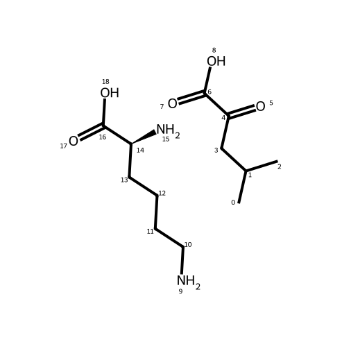 CC(C)CC(=O)C(=O)O.NCCCC[C@H](N)C(=O)O